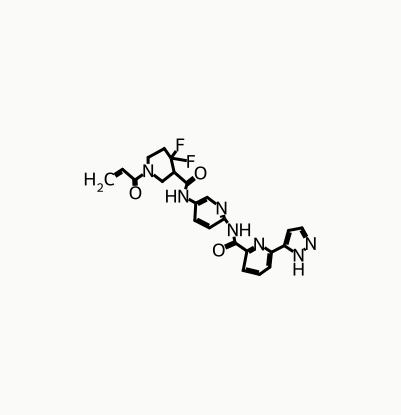 C=CC(=O)N1CCC(F)(F)C(C(=O)Nc2ccc(NC(=O)c3cccc(-c4ccn[nH]4)n3)nc2)C1